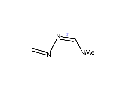 C=N/N=C\NC